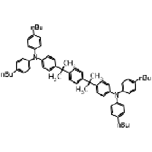 CCCCc1ccc(N(c2ccc(CCCC)cc2)c2ccc(C(C)(C)c3ccc(C(C)(C)c4ccc(N(c5ccc(CCCC)cc5)c5ccc(CCCC)cc5)cc4)cc3)cc2)cc1